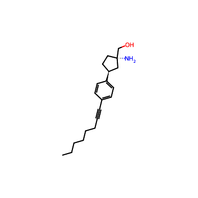 CCCCCCC#Cc1ccc([C@H]2CC[C@@](N)(CO)C2)cc1